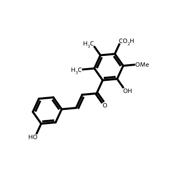 COc1c(O)c(C(=O)C=Cc2cccc(O)c2)c(C)c(C)c1C(=O)O